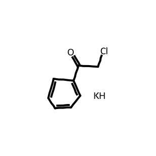 O=C(CCl)c1ccccc1.[KH]